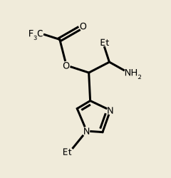 CCC(N)C(OC(=O)C(F)(F)F)c1cn(CC)cn1